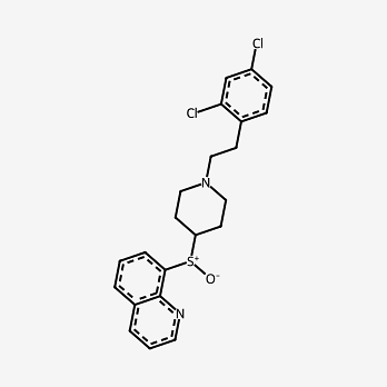 [O-][S+](c1cccc2cccnc12)C1CCN(CCc2ccc(Cl)cc2Cl)CC1